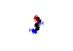 Cc1ccc(NC(=O)C2(c3ccc4c(c3)OCO4)CC2)cc1-c1cc(-c2nnn[nH]2)ccc1F